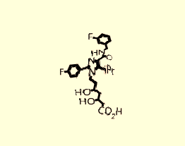 CC(C)c1c(C(=O)NCc2cccc(F)c2)nc(-c2ccc(F)cc2)n1CCC(O)CC(O)CC(=O)O